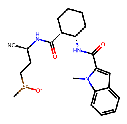 Cn1c(C(=O)N[C@H]2CCCC[C@H]2C(=O)N[C@H](C#N)CC[S+](C)[O-])cc2ccccc21